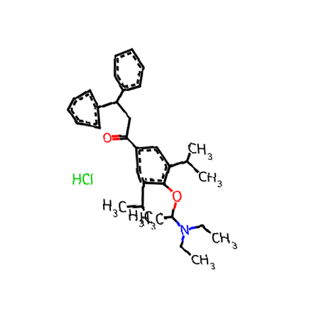 CCN(CC)C(C)Oc1c(C(C)C)cc(C(=O)CC(c2ccccc2)c2ccccc2)cc1C(C)C.Cl